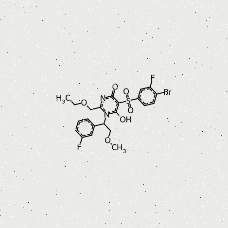 CCOCc1nc(=O)c(S(=O)(=O)c2ccc(Br)c(F)c2)c(O)n1C(COC)c1cccc(F)c1